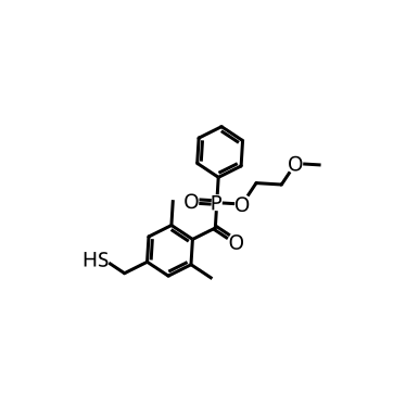 COCCOP(=O)(C(=O)c1c(C)cc(CS)cc1C)c1ccccc1